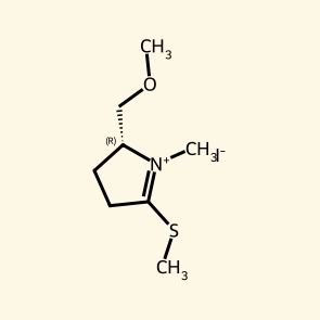 COC[C@H]1CCC(SC)=[N+]1C.[I-]